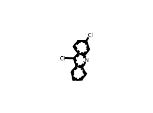 Clc1ccc2c(Cl)c3ccccc3nc2c1